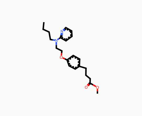 CCCCN(CCOc1ccc(CCCC(=O)OC)cc1)c1ccccn1